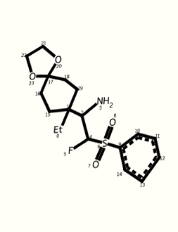 CCC1(C(N)C(F)S(=O)(=O)c2ccccc2)CCC2(CC1)OCCO2